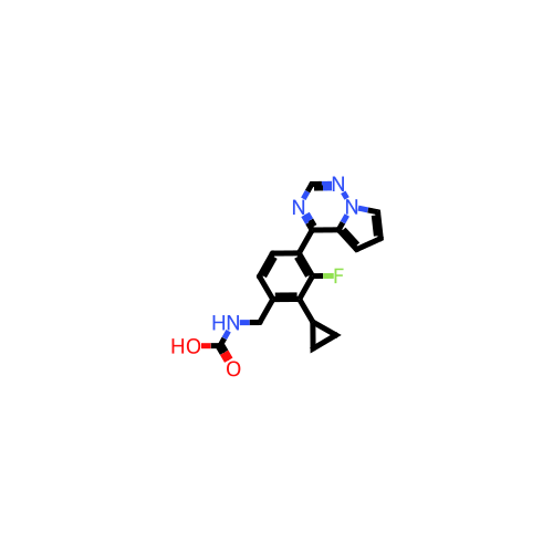 O=C(O)NCc1ccc(-c2ncnn3cccc23)c(F)c1C1CC1